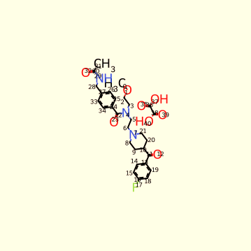 COCCN(CCN1CCC(C(=O)c2ccc(F)cc2)CC1)C(=O)c1ccc(CNC(C)=O)cc1.O=C(O)C(=O)O